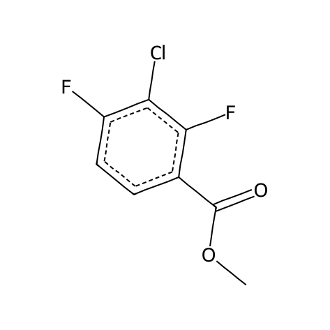 COC(=O)c1ccc(F)c(Cl)c1F